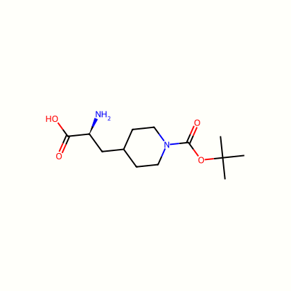 CC(C)(C)OC(=O)N1CCC(C[C@H](N)C(=O)O)CC1